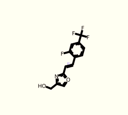 OCc1coc(/C=C/c2ccc(C(F)(F)F)cc2F)n1